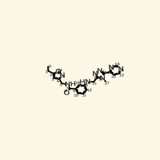 CCc1cc(CNC(=O)c2cccc(NCc3nnc(-c4ccncn4)n3C)c2)no1